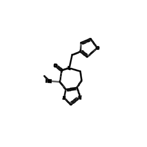 CNC1C(=O)N(Cc2ccoc2)CCc2ncsc21